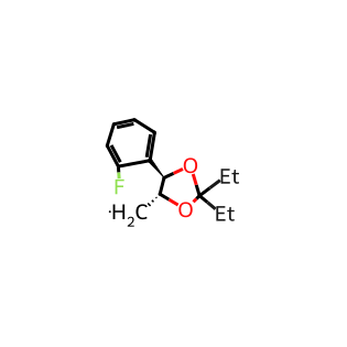 [CH2][C@H]1OC(CC)(CC)O[C@@H]1c1ccccc1F